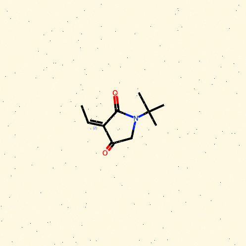 C/C=C1/C(=O)CN(C(C)(C)C)C1=O